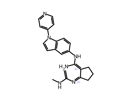 C=C(/N=C1/CCC/C1=C(/N)Nc1ccc2c(ccn2-c2ccncc2)c1)NC